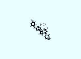 Cl.O=c1cc(C2CCNCC2)n2ncc(-c3nc(Cc4ccc(F)cc4)no3)c2[nH]1